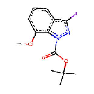 COc1cccc2c(I)nn(C(=O)OC(C)(C)C)c12